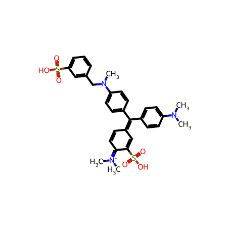 CN(C)c1ccc(/C(=C2/C=CC(=[N+](C)C)C(S(=O)(=O)O)=C2)c2ccc(N(C)Cc3cccc(S(=O)(=O)O)c3)cc2)cc1